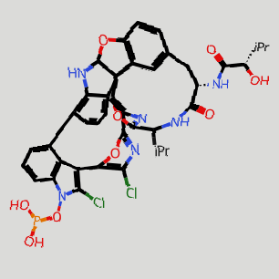 CC(C)C1NC(=O)[C@@H](NC(=O)[C@@H](O)C(C)C)Cc2ccc3c(c2)C24c5cccc(c5NC2O3)-c2cccc3c2c(c(Cl)n3OP(O)O)-c2oc(nc2Cl)-c2nc1oc24